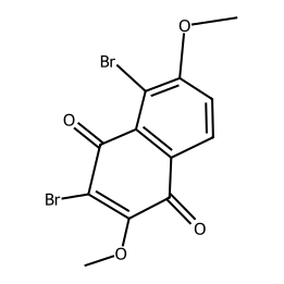 COC1=C(Br)C(=O)c2c(ccc(OC)c2Br)C1=O